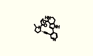 C=CC(=O)N1[C@H](C)CC[C@H]1C#Cc1cnccc1-c1cc2c([nH]1)CCNC2=O